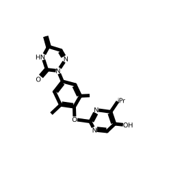 C=C1C=NN(c2cc(C)c(Oc3ncc(O)c(C(C)C)n3)c(C)c2)C(=O)N1